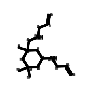 C=CCNCC1(C)CC(NCC=C)CC(C)(C)C1